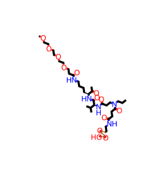 CCCN(CCC(=O)N[C@H](C(=O)N[C@@H](CCCCNC(=O)CCOCCOCCOCCOC)C(C)=O)C(C)C)C(=O)CCC(=O)NCCS(=O)(=O)O